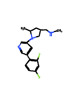 CNCC1CC(C)N(c2cncc(-c3ccc(F)cc3F)c2)C1